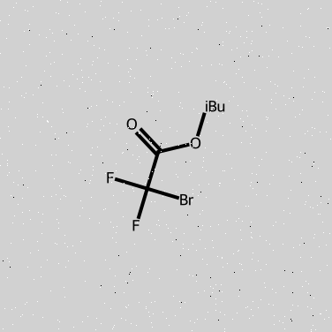 CCC(C)OC(=O)C(F)(F)Br